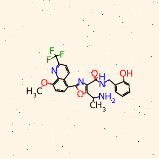 COc1ccc(-c2nc(C(=O)NCc3ccccc3O)c([C@H](C)N)o2)c2ccc(C(F)(F)F)nc12